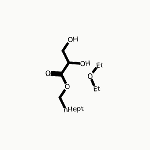 CCCCCCCCOC(=O)C(O)CO.CCOCC